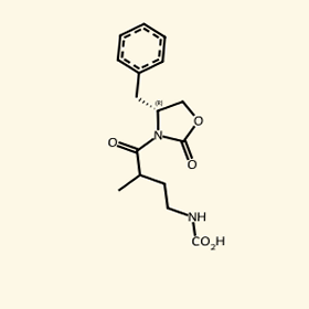 CC(CCNC(=O)O)C(=O)N1C(=O)OC[C@H]1Cc1ccccc1